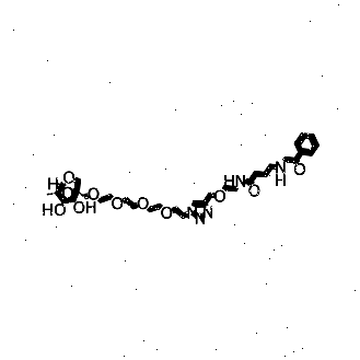 C[C@@H]1[C@H]2OC[C@](COCCOCCOCCOCCn3cc(COCCNC(=O)CCCNCC(=O)c4ccccc4)nn3)(O2)[C@H](O)[C@@H]1O